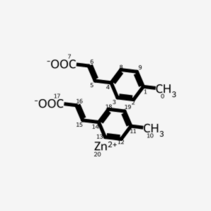 Cc1ccc(C=CC(=O)[O-])cc1.Cc1ccc(C=CC(=O)[O-])cc1.[Zn+2]